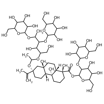 C=C(C)[C@]1(OC(C)OC(CO)C(O)C(OC2OC(CO)C(O)C(O)C2O)C(C)OC2OC(CO)C(O)C(O)C2O)CC[C@@H]2[C@@](C)(CC[C@H]3[C@@]2(C)CCC[C@@]3(C)C(=O)OC2OC(CO)C(O)C(O)C2OC2OC(CO)C(O)C(O)C2O)C1